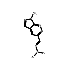 Cn1ncc2cc(C=N[S+]([O-])C(C)(C)C)nnc21